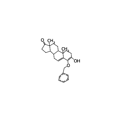 CC12CCC3C(CC=C4C(OCc5ccccc5)=C(O)CCC43C)C1CCC2=O